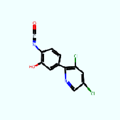 O=C=Nc1ccc(-c2ncc(Cl)cc2Cl)cc1O